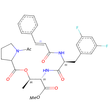 COC(=O)[C@@H](NC(=O)[C@H](Cc1cc(F)cc(F)c1)NC(=O)/C=C/c1ccccc1)[C@@H](C)OC(=O)C1CCCN1C(C)=O